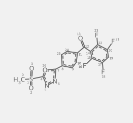 CS(=O)(=O)c1nnc(-c2ccc(C(=O)c3c(F)c(F)cc(F)c3F)cc2)o1